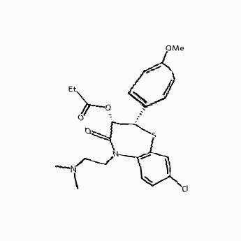 CCC(=O)O[C@H]1C(=O)N(CCN(C)C)c2ccc(Cl)cc2S[C@H]1c1ccc(OC)cc1